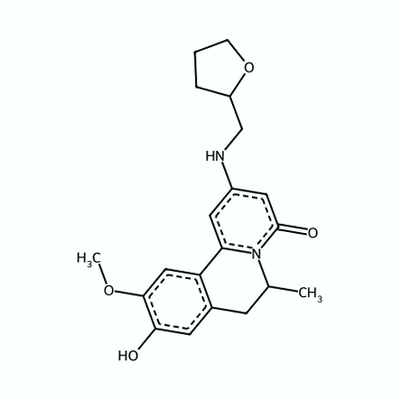 COc1cc2c(cc1O)CC(C)n1c-2cc(NCC2CCCO2)cc1=O